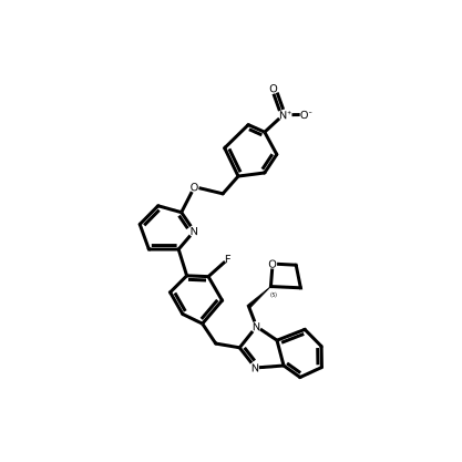 O=[N+]([O-])c1ccc(COc2cccc(-c3ccc(Cc4nc5ccccc5n4C[C@@H]4CCO4)cc3F)n2)cc1